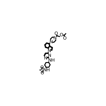 CC(=O)OCC(=O)N1CCN(c2cccc3c2ccn3-c2ccnc(NC3CCC(NS(C)(=O)=O)CC3)n2)CC1